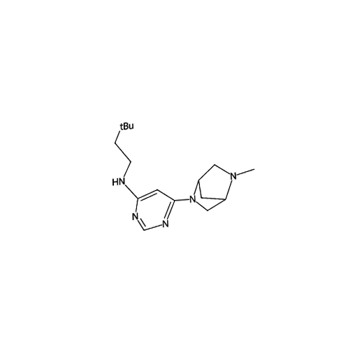 CN1CC2CC1CN2c1cc(NCCC(C)(C)C)ncn1